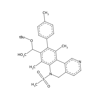 Cc1ccc(-c2c(C)c3c(c(C)c2C(OC(C)(C)C)C(=O)O)N(S(C)(=O)=O)Cc2ccncc2-3)cc1